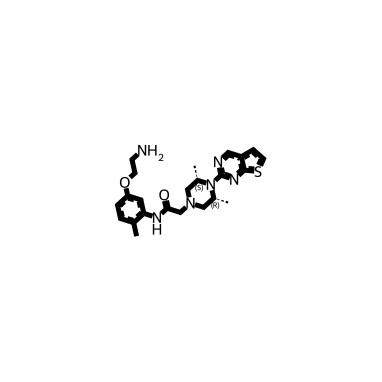 Cc1ccc(OCCN)cc1NC(=O)CN1C[C@@H](C)N(c2ncc3ccsc3n2)[C@@H](C)C1